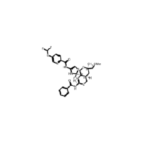 COC[C@@]1(C)C[C@H]2CSC(NC(=O)c3ccccc3)=N[C@@]2(C2(C)NC(NC(=O)c3ccc(OC(F)F)cn3)=CS2)CO1